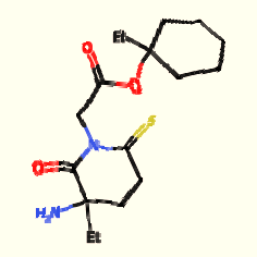 CCC1(OC(=O)CN2C(=O)C(N)(CC)CCC2=S)CCCCC1